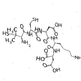 CC(C)(S)[C@H](N)C(=O)N[C@@H](CS)C(=O)N[C@@H](CC(=O)O)C(=O)N[C@@H](CCCCN)C(=O)N[C@@H](CC(=O)O)C(=O)O